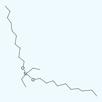 CCCCCCCCCCO[Si](CC)(CC)OCCCCCCCCCC